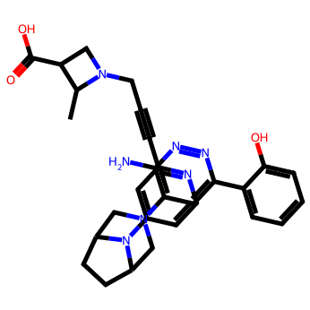 CC1C(C(=O)O)CN1CC#Cc1cc(N2C3CCC2CN(c2cc(-c4ccccc4O)nnc2N)C3)ccn1